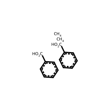 C.C.O=C(O)c1ccccc1.O=C(O)c1ccccc1